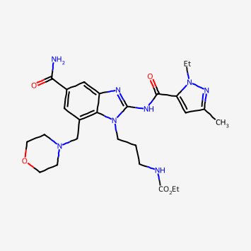 CCOC(=O)NCCCn1c(NC(=O)c2cc(C)nn2CC)nc2cc(C(N)=O)cc(CN3CCOCC3)c21